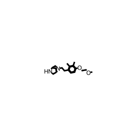 COCCOc1ccc(CCN2CC3CC2CN3)c(C)c1C